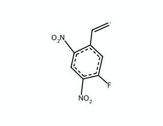 [CH]=Cc1cc(F)c([N+](=O)[O-])cc1[N+](=O)[O-]